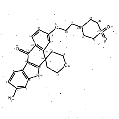 N#Cc1ccc2c3c([nH]c2c1)C1(CCOCC1)c1cc(OCCN2CCS(=O)(=O)CC2)ccc1C3=O